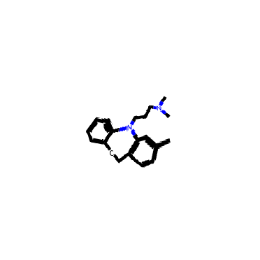 Cc1ccc2c(c1)N(CCCN(C)C)c1ccccc1CC2